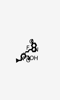 COc1ccc2nccc(C(F)CC[C@@H]3CCN(CC4CC4)C[C@@H]3CC(=O)O)c2c1